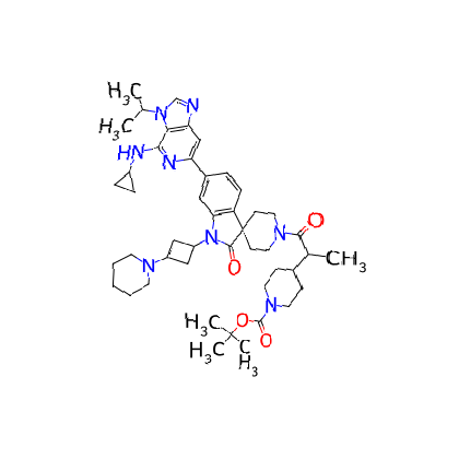 CC(C(=O)N1CCC2(CC1)C(=O)N(C1CC(N3CCCCC3)C1)c1cc(-c3cc4ncn(C(C)C)c4c(NC4CC4)n3)ccc12)C1CCN(C(=O)OC(C)(C)C)CC1